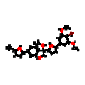 COc1cc(-c2ccc(C(C=O)(OC)c3ccc(-c4ccc(C)o4)cc3)o2)cc(OC)c1Br